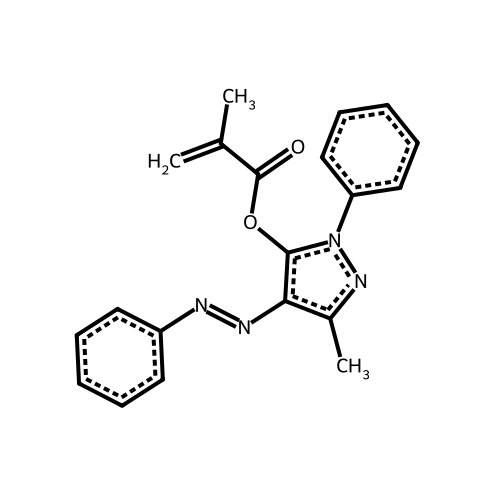 C=C(C)C(=O)Oc1c(/N=N/c2ccccc2)c(C)nn1-c1ccccc1